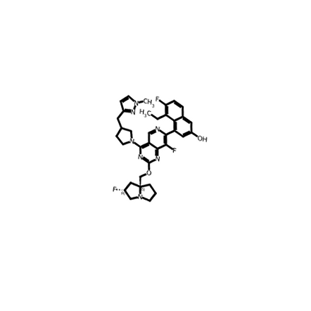 CCc1c(F)ccc2cc(O)cc(-c3ncc4c(N5CCC(Cc6ccn(C)n6)C5)nc(OC[C@@]56CCCN5C[C@H](F)C6)nc4c3F)c12